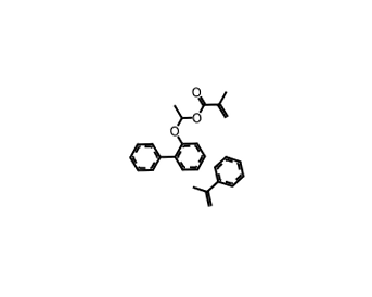 C=C(C)C(=O)OC(C)Oc1ccccc1-c1ccccc1.C=C(C)c1ccccc1